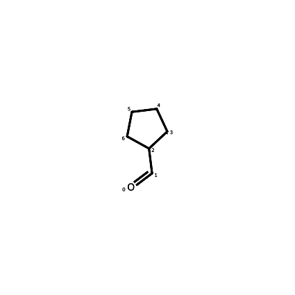 O=CC1[CH]CCC1